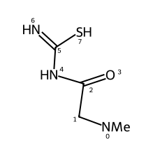 CNCC(=O)NC(=N)S